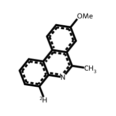 [2H]c1cccc2c1nc(C)c1cc(OC)ccc12